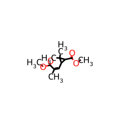 COC(=O)C(C)=CC1C(C(=O)OC)C1(C)C